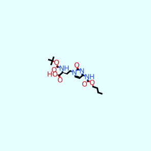 CCCCOC(=O)Nc1ccn(CC[C@H](NC(=O)OC(C)(C)C)C(=O)O)c(=O)n1